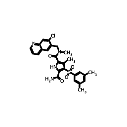 Cc1cc(C)cc(S(=O)(=O)c2c(C(N)=O)[nH]c(C(=O)N(C)Cc3cc4cccnc4cc3Cl)c2C)c1